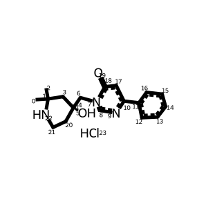 CC1(C)C[C@](O)(Cn2cnc(-c3ccccc3)cc2=O)CCN1.Cl